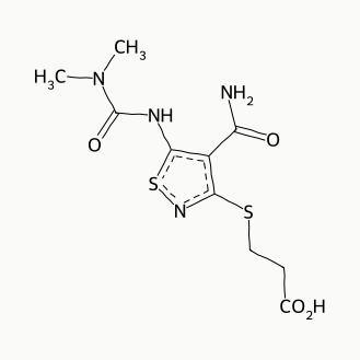 CN(C)C(=O)Nc1snc(SCCC(=O)O)c1C(N)=O